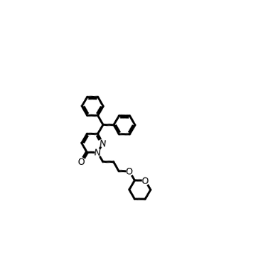 O=c1ccc(C(c2ccccc2)c2ccccc2)nn1CCCOC1CCCCO1